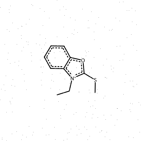 CC[n+]1c(SC)oc2ccccc21